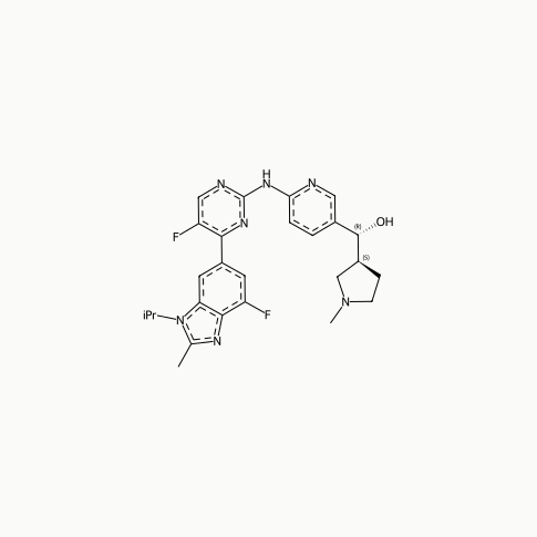 Cc1nc2c(F)cc(-c3nc(Nc4ccc([C@H](O)[C@H]5CCN(C)C5)cn4)ncc3F)cc2n1C(C)C